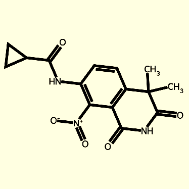 CC1(C)C(=O)NC(=O)c2c1ccc(NC(=O)C1CC1)c2[N+](=O)[O-]